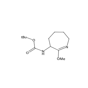 COC1=NCCCCC1NC(=O)OC(C)(C)C